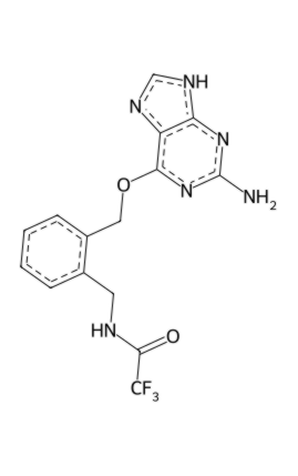 Nc1nc(OCc2ccccc2CNC(=O)C(F)(F)F)c2nc[nH]c2n1